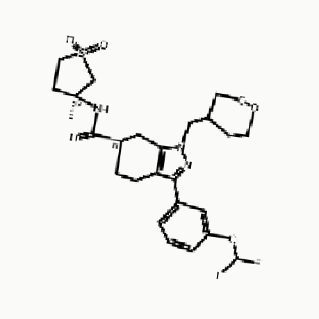 C[C@]1(NC(=O)[C@@H]2CCc3c(-c4cccc(OC(F)F)c4)nn(CC4CCOCC4)c3C2)CCS(=O)(=O)C1